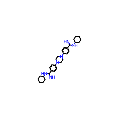 N=C(NC1CCCCC1)c1ccc(N2CCN(c3ccc(C(=N)NC4CCCCC4)cc3)CC2)cc1